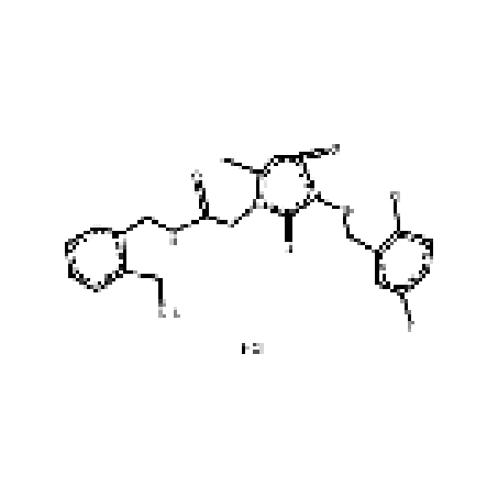 Cc1cc(=O)n(NCc2cc(F)ccc2Cl)c(=O)n1CC(=O)NCc1ccccc1CN.Cl